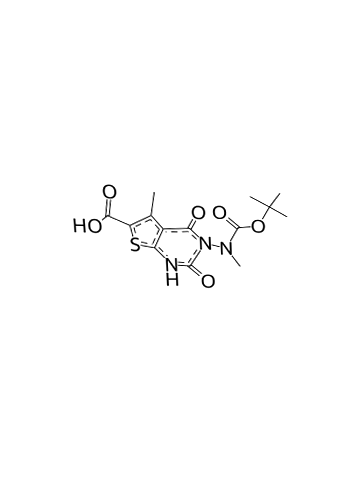 Cc1c(C(=O)O)sc2[nH]c(=O)n(N(C)C(=O)OC(C)(C)C)c(=O)c12